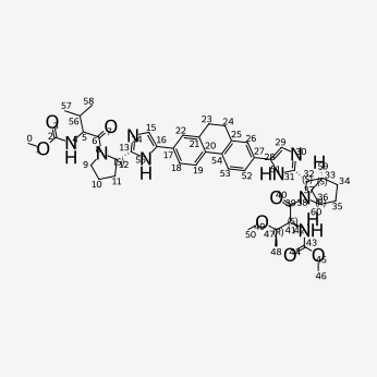 COC(=O)NC(C(=O)N1CCC[C@H]1c1ncc(-c2ccc3c(c2)CCc2cc(-c4cnc([C@@H]5[C@H]6CC[C@H](C6)N5C(=O)[C@@H](NC(=O)OC)[C@@H](C)OC)[nH]4)ccc2-3)[nH]1)C(C)C